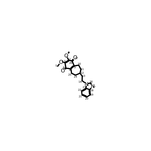 COC1=C(OC)C(=O)C2=C(CCC(CCn3cnc4ccccc43)CC2)C1=O